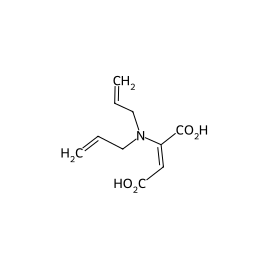 C=CCN(CC=C)/C(=C\C(=O)O)C(=O)O